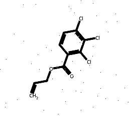 C=CCOC(=O)c1ccc(Cl)c(Cl)c1Cl